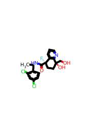 CC(NC(=O)[C@]1(F)CC[C@@](O)(CO)c2ncccc21)c1ccc(Cl)cc1Cl